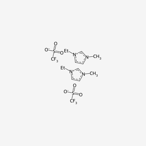 CC[n+]1ccn(C)c1.CC[n+]1ccn(C)c1.O=S(=O)([O-])C(F)(F)F.O=S(=O)([O-])C(F)(F)F